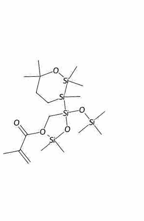 C=C(C)C(=O)OC[Si](O[Si](C)(C)C)(O[Si](C)(C)C)[Si]1(C)CCC(C)(C)O[Si]1(C)C